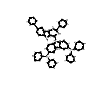 c1ccc(-c2ccc3oc4c(-n5c6ccc(N(c7ccccc7)c7ccccc7)cc6c6cc(N(c7ccccc7)c7ccccc7)ccc65)nc(-c5ccccc5)nc4c3c2)cc1